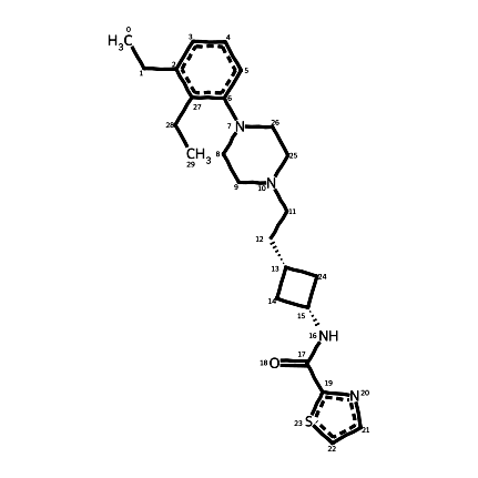 CCc1cccc(N2CCN(CC[C@H]3C[C@@H](NC(=O)c4nccs4)C3)CC2)c1CC